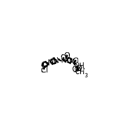 CS(=O)(=O)NCC(=O)N1CCC2(CC1)C[C@H](CCN1CCN(c3cccc(Cl)c3)CC1)OC2=O